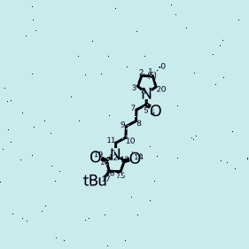 C[C@H]1CCN(C(=O)CCCCCN2C(=O)CC(C(C)(C)C)C2=O)C1